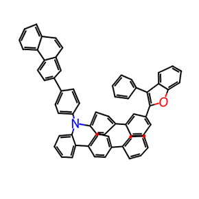 c1ccc(-c2ccc(-c3ccccc3N(c3ccc(-c4cccc(-c5oc6ccccc6c5-c5ccccc5)c4)cc3)c3ccc(-c4ccc5c(ccc6ccccc65)c4)cc3)cc2)cc1